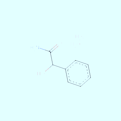 NC(=O)C(O)c1ccccc1.O.O